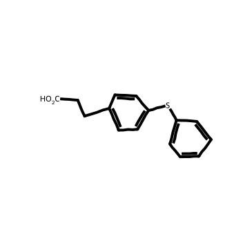 O=C(O)CCc1ccc(Sc2ccccc2)cc1